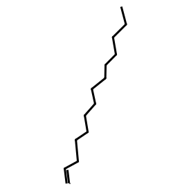 [CH]=CCCCCCCCCCCCC